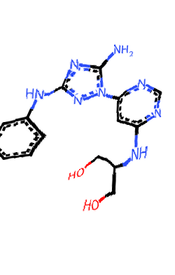 Nc1nc(Nc2ccccc2)nn1-c1cc(NC(CO)CO)ncn1